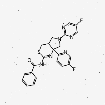 O=C(NC1=NC2(c3ccc(F)cn3)CN(c3ncc(F)cn3)CC2CS1)c1ccccc1